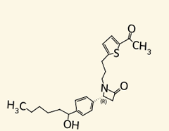 CCCCCC(O)c1ccc([C@H]2CC(=O)N2CCCc2ccc(C(C)=O)s2)cc1